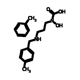 Cc1ccc(CNCCCN(O)C(=O)O)cc1.Cc1ccccc1